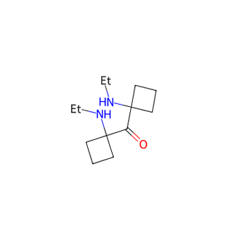 CCNC1(C(=O)C2(NCC)CCC2)CCC1